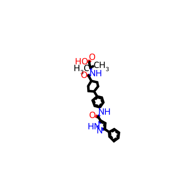 CC(C)(NC(=O)C1CCC(c2ccc(NC(=O)c3cc(-c4ccccc4)n[nH]3)cc2)CC1)C(=O)O